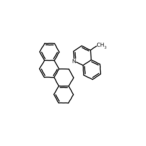 C1=CC2=C(CC1)CCc1c2ccc2ccccc12.Cc1ccnc2ccccc12